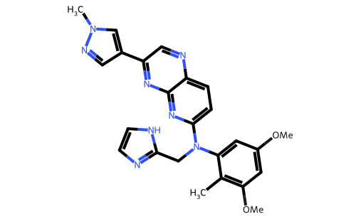 COc1cc(OC)c(C)c(N(Cc2ncc[nH]2)c2ccc3ncc(-c4cnn(C)c4)nc3n2)c1